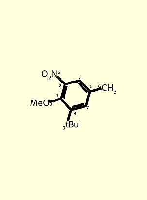 COc1c([N+](=O)[O-])cc(C)cc1C(C)(C)C